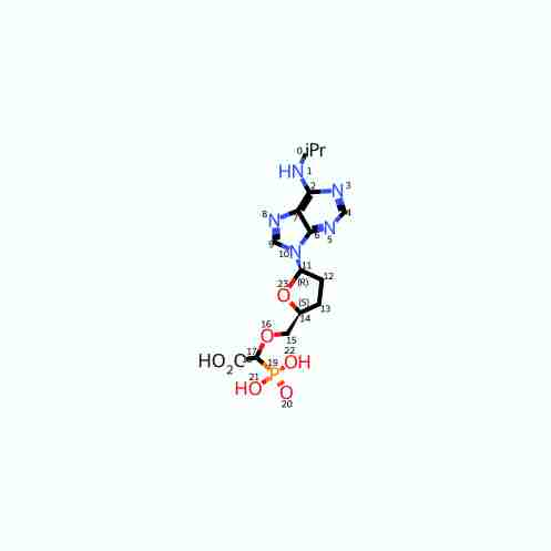 CC(C)Nc1ncnc2c1ncn2[C@H]1CC[C@@H](COC(C(=O)O)P(=O)(O)O)O1